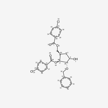 O=C(OC[C@H]1SC(O)[C@H](OCc2ccccc2)[C@H]1OC(=O)c1ccc(Cl)cc1)c1ccc(Cl)cc1